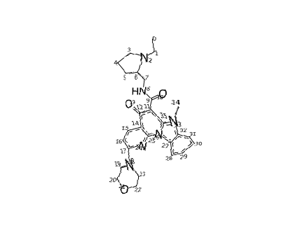 CCN1CCCC1CNC(=O)c1c(=O)c2ccc(N3CCOCC3)nc2n2c3ccccc3n(C)c12